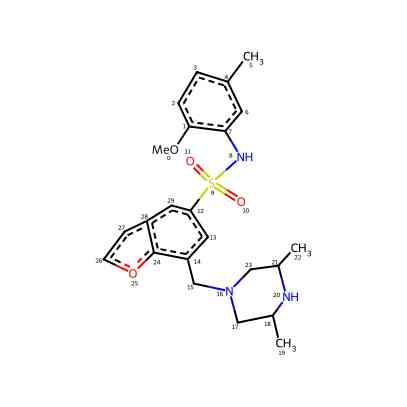 COc1ccc(C)cc1NS(=O)(=O)c1cc(CN2CC(C)NC(C)C2)c2occc2c1